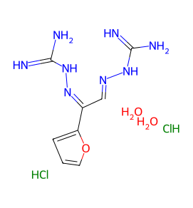 Cl.Cl.N=C(N)NN=CC(=NNC(=N)N)c1ccco1.O.O